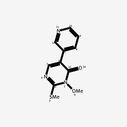 COn1c(SC)ncc(-c2cccnc2)c1=O